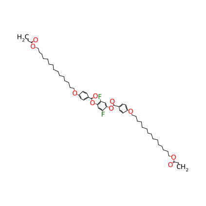 C=CC(=O)OCCCCCCCCCCCCCCCOc1ccc(C(=O)Oc2cc(F)c(OC(=O)c3ccc(OCCCCCCCCCCCCCCCOC(=O)C=C)cc3)cc2F)cc1